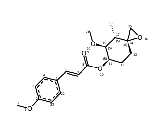 COc1ccc(C=CC(=O)O[C@@H]2CC[C@]3(CO3)[C@@H](C)[C@@H]2OC)cc1